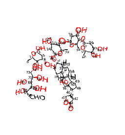 C[C@H]1O[C@@H](O)C[C@H](O)[C@@H]1O.C[C@H]1O[C@@H](O[C@H]2[C@@H](O)C[C@H](O[C@H]3[C@@H](O)C[C@H](O[C@H]4CC[C@@]5(C)[C@H](CC[C@@H]6[C@@H]5CC[C@]5(C)[C@@H](C7=CC(=O)OC7)CC[C@]65O)C4)O[C@@H]3C)O[C@@H]2C)C[C@H](O)[C@@H]1O.O=C[C@H](O)[C@@H](O)[C@H](O)[C@H](O)CO